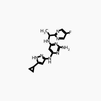 CC(Nc1cc(Nc2cc(C3CC3)[nH]n2)nc(N)n1)c1ncc(F)cn1